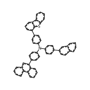 c1ccc2cc(-c3ccc(N(c4ccc(-c5cc6ccccc6c6ccccc56)cc4)c4ccc(-c5cccc6c5sc5ccccc56)cc4)cc3)ccc2c1